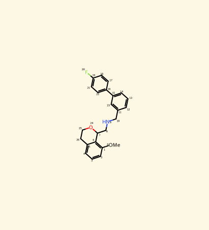 COc1cccc2c1C(CNCc1cccc(-c3ccc(F)cc3)c1)OCC2